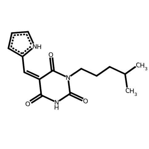 CC(C)CCCN1C(=O)NC(=O)C(=Cc2ccc[nH]2)C1=O